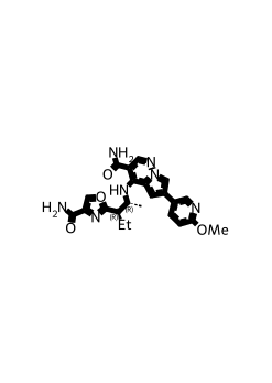 CC[C@@H](c1nc(C(N)=O)co1)[C@@H](C)Nc1c(C(N)=O)cnn2cc(-c3ccc(OC)nc3)cc12